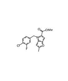 COC(=O)c1cc2oc(C)cc2n1Cc1ccc(Cl)c(F)c1